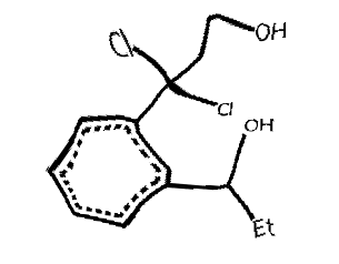 CCC(O)c1ccccc1C(Cl)(Cl)CO